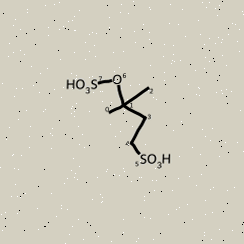 CC(C)(CCS(=O)(=O)O)OS(=O)(=O)O